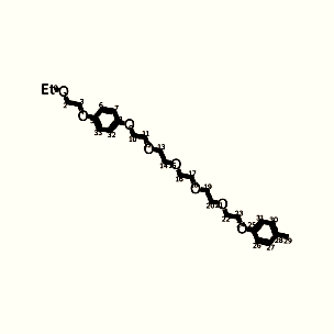 CCOCCOc1ccc(OCCOCCOCCOCCOCCOc2ccc(C)cc2)cc1